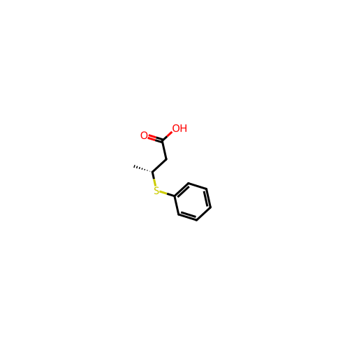 C[C@H](CC(=O)O)Sc1ccccc1